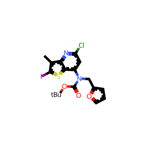 Cc1c(I)sc2c(N(Cc3ccco3)C(=O)OC(C)(C)C)cc(Cl)nc12